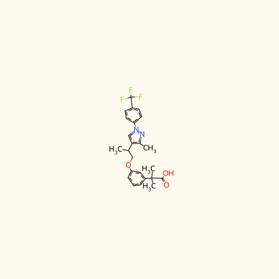 Cc1nn(-c2ccc(C(F)(F)F)cc2)cc1C(C)COc1cccc(C(C)(C)C(=O)O)c1